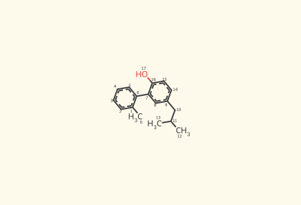 Cc1ccccc1-c1cc(CC(C)C)ccc1O